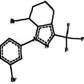 FC(F)(F)c1nn(-c2cccc(Br)c2)c2c1CCCC2Br